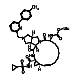 Cc1ccc(-c2cccc(CN3C[C@H]4CN5C(=O)[C@@H](NC(=O)OC(C)(C)C)CCCCC/C=C\[C@H]6C[C@@]6(C(=O)NS(=O)(=O)C6CC6)NC(=O)[C@@H]5[C@H]4C3)n2)cc1